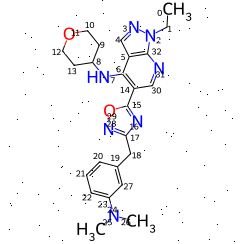 CCn1ncc2c(NC3CCOCC3)c(-c3nc(Cc4cccc(N(C)C)c4)no3)cnc21